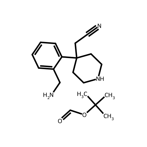 CC(C)(C)OC=O.N#CCC1(c2ccccc2CN)CCNCC1